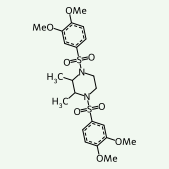 COc1ccc(S(=O)(=O)N2CCN(S(=O)(=O)c3ccc(OC)c(OC)c3)C(C)C2C)cc1OC